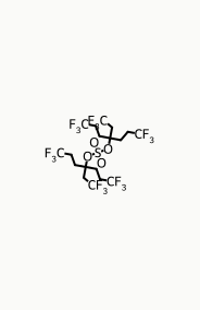 O=S(=O)(OC(CCC(F)(F)F)(CCC(F)(F)F)CC(F)(F)F)OC(CCC(F)(F)F)(CCC(F)(F)F)CC(F)(F)F